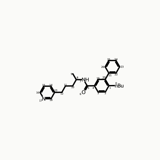 CCCCc1ccc(C(=O)NC(C)CCCc2cccnc2)cc1-c1ccccc1